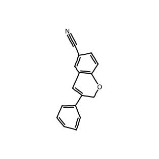 N#Cc1ccc2c(c1)C=C(c1ccccc1)CO2